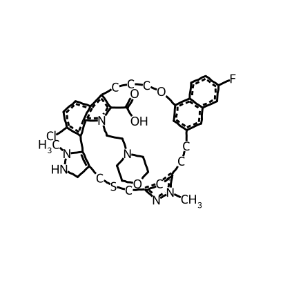 CN1NCC2=C1c1c(Cl)ccc3c(c(C(=O)O)n(CCN4CCOCC4)c13)CCCOc1cc(cc3cc(F)ccc13)CCc1cc(nn1C)CSC2